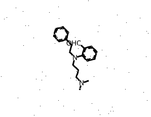 CN(C)CCCN(CCc1ccccc1)c1ccccc1C=O